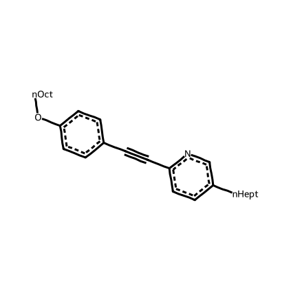 CCCCCCCCOc1ccc(C#Cc2ccc(CCCCCCC)cn2)cc1